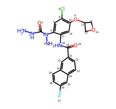 NNC(=O)N(N)c1cc(Cl)c(OC2COC2)cc1NC(=O)c1ccc2cc(F)ccc2c1